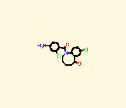 Nc1ccc(C(=O)N2CCCCC(=O)c3cc(Cl)ccc32)c(Cl)c1